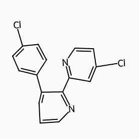 Clc1ccc(-c2cccnc2-c2cc(Cl)ccn2)cc1